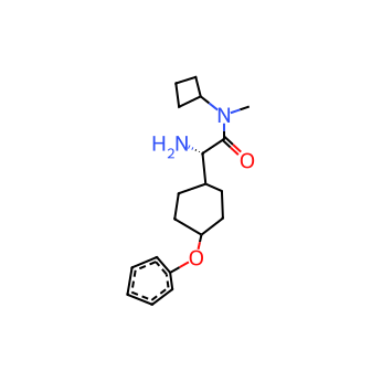 CN(C(=O)[C@@H](N)C1CCC(Oc2ccccc2)CC1)C1CCC1